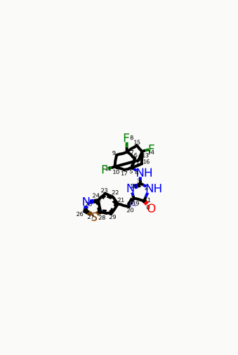 O=C1NC(NC23CC4(F)CC(F)(CC(F)(C4)C2)C3)=N/C1=C\c1ccc2ncsc2c1